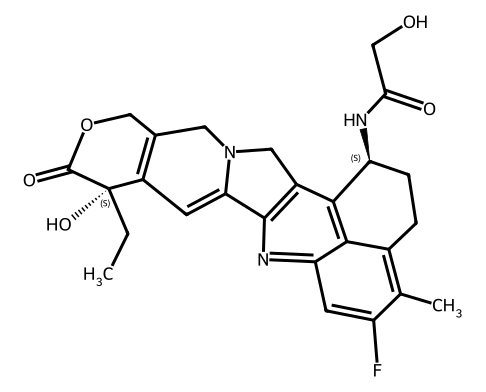 CC[C@@]1(O)C(=O)OCC2=C1C=C1c3nc4cc(F)c(C)c5c4c(c3CN1C2)[C@@H](NC(=O)CO)CC5